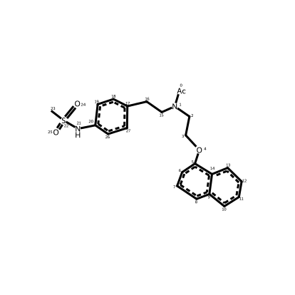 CC(=O)N(CCOc1cccc2ccccc12)CCc1ccc(NS(C)(=O)=O)cc1